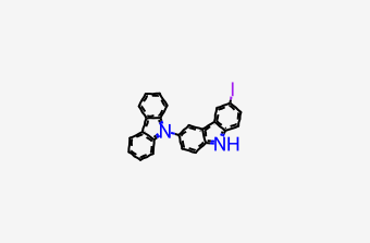 Ic1ccc2[nH]c3ccc(-n4c5ccccc5c5ccccc54)cc3c2c1